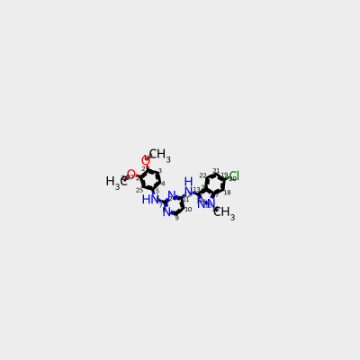 COc1ccc(Nc2nccc(Nc3nn(C)c4cc(Cl)ccc34)n2)cc1OC